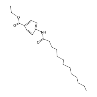 CCCCCCCCCCCCC(=O)Nc1ccc(C(=O)OCC)cc1